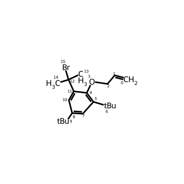 C=CCOc1c(C(C)(C)C)cc(C(C)(C)C)cc1C(C)(C)Br